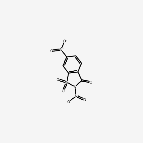 O=C1c2ccc([N+](=O)[O-])cc2S(=O)(=O)N1[N+](=O)[O-]